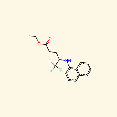 CCOC(=O)CCC(Nc1cccc2ccccc12)C(F)(F)F